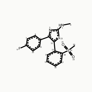 CNc1nc(-c2ccc(F)cc2)c(-c2ccccc2S(C)(=O)=O)s1